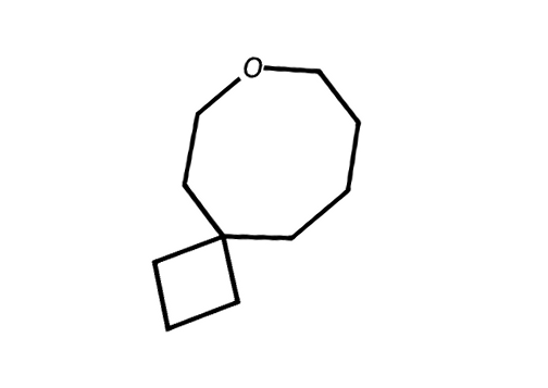 C1CCC2(CCC2)CCOC1